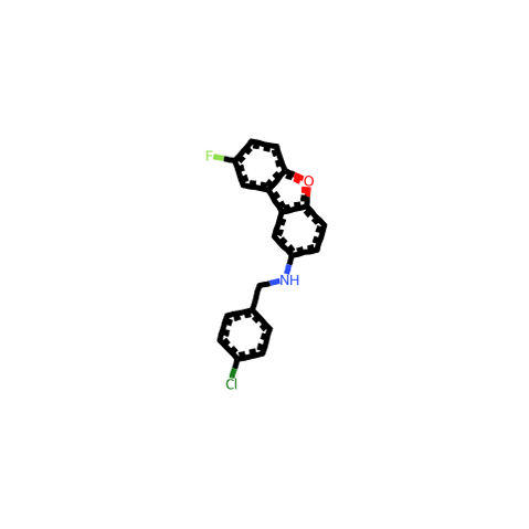 Fc1ccc2oc3ccc(NCc4ccc(Cl)cc4)cc3c2c1